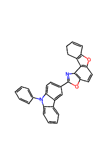 C1=Cc2oc3ccc4oc(-c5ccc6c(c5)c5ccccc5n6-c5ccccc5)nc4c3c2CC1